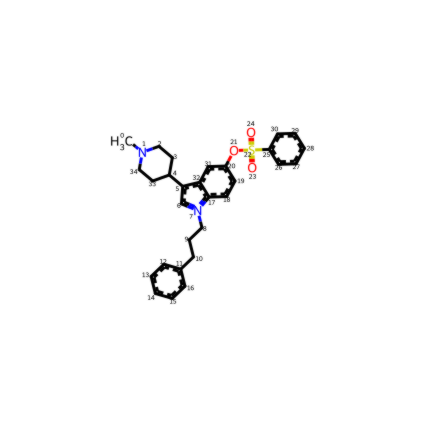 CN1CCC(c2cn(CCCc3ccccc3)c3ccc(OS(=O)(=O)c4ccccc4)cc23)CC1